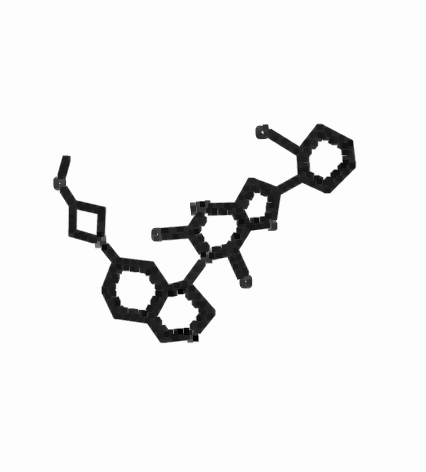 COC1CN(c2ccc3cncc(-n4c(=O)[nH]c5cc(-c6ccccc6Cl)sc5c4=O)c3c2)C1